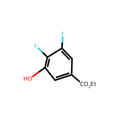 CCOC(=O)c1cc(O)c(F)c(F)c1